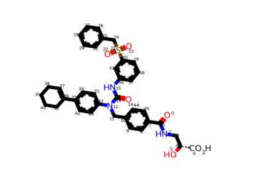 O=C(NC[C@@H](O)C(=O)O)c1ccc(CN(C(=O)Nc2cccc(S(=O)(=O)Cc3ccccc3)c2)c2ccc(C3=CCCCC3)cc2)cc1